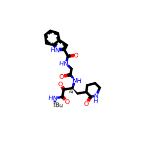 CC(C)(C)NC(=O)C(=O)[C@H](CC1CCCNC1=O)NC(=O)CNC(=O)c1cc2ccccc2[nH]1